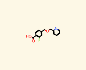 O=C(O)c1ccc(COCc2ccccn2)cc1F